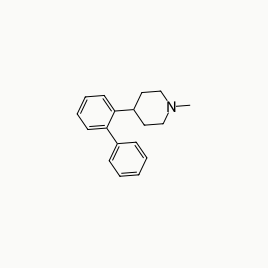 CN1CCC(c2ccccc2-c2ccccc2)CC1